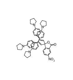 O=C1OC(C=C(c2ccc(N3CCCC3)cc2)c2ccc(N3CCCC3)cc2)(C=C(c2ccc(N3CCCC3)cc2)c2ccc(N3CCCC3)cc2)c2ccc([N+](=O)[O-])cc21